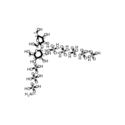 O=S(=O)(O)O.O=S(=O)(O)O.O=S(=O)(O)O.O=S(=O)(O)O.O=S(=O)(O)O.O=S(=O)(O)O.O=S(=O)(O)O.O=S(=O)(O)O.OC[C@H]1O[C@@](CO)(O[C@H]2O[C@H](CO)[C@@H](O)[C@H](O)[C@H]2O)[C@@H](O)[C@@H]1O.[AlH3]